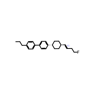 CCCc1ccc(-c2ccc([C@H]3CC[C@H](/C=C/CCF)CC3)cc2)cc1